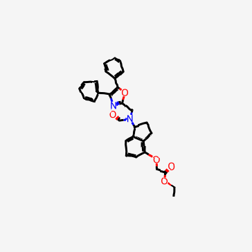 CCOC(=O)COc1cccc2c1CCC2N(C=O)Cc1nc(-c2ccccc2)c(-c2ccccc2)o1